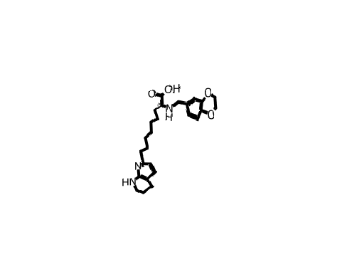 O=C(O)[C@H](CCCCCCCc1ccc2c(n1)NCCC2)NCc1ccc2c(c1)OCCO2